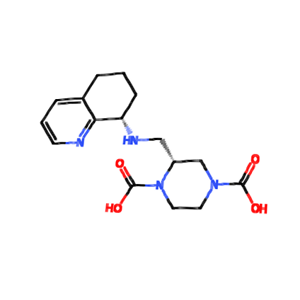 O=C(O)N1CCN(C(=O)O)[C@H](CN[C@H]2CCCc3cccnc32)C1